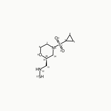 O=S(=O)(C1CC1)N1CCO[C@H](CNS)C1